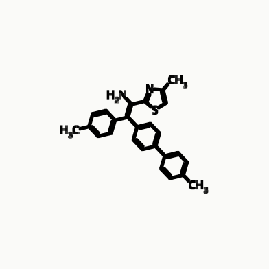 Cc1ccc(C(=C(N)c2nc(C)cs2)c2ccc(-c3ccc(C)cc3)cc2)cc1